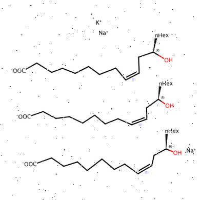 CCCCCC[C@@H](O)C/C=C\CCCCCCCC(=O)[O-].CCCCCC[C@@H](O)C/C=C\CCCCCCCC(=O)[O-].CCCCCC[C@@H](O)C/C=C\CCCCCCCC(=O)[O-].[K+].[Na+].[Na+]